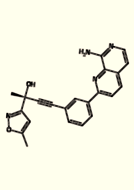 Cc1cc([C@](C)(O)C#Cc2cccc(-c3ccc4ccnc(N)c4n3)c2)no1